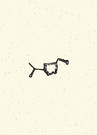 CC(=O)c1csc(C=O)c1